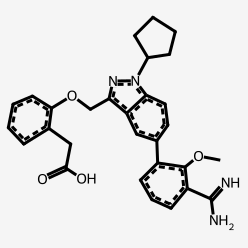 COc1c(C(=N)N)cccc1-c1ccc2c(c1)c(COc1ccccc1CC(=O)O)nn2C1CCCC1